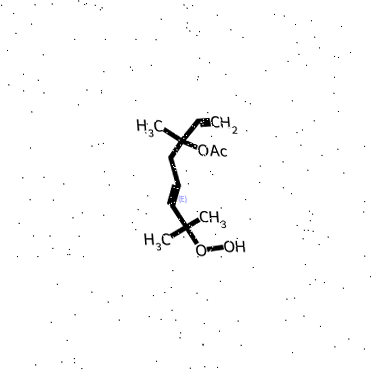 C=CC(C)(C/C=C/C(C)(C)OO)OC(C)=O